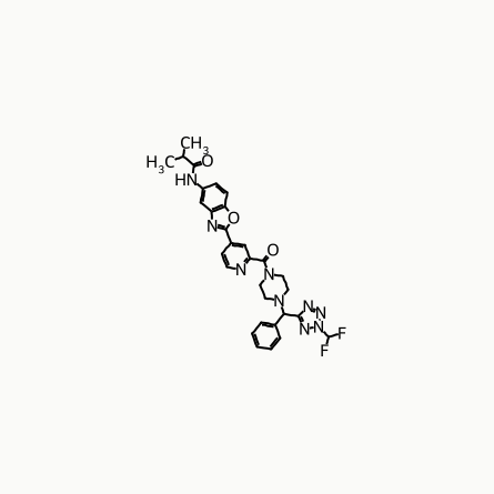 CC(C)C(=O)Nc1ccc2oc(-c3ccnc(C(=O)N4CCN(C(c5ccccc5)c5nnn(C(F)F)n5)CC4)c3)nc2c1